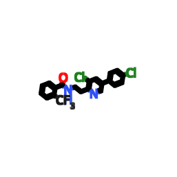 O=C(NCCc1ncc(-c2ccc(Cl)cc2)cc1Cl)c1ccccc1C(F)(F)F